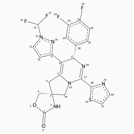 O=C1N[C@@]2(CO1)CC1=C(c3ccn(C(F)F)n3)[C@H](c3ccc(F)c(F)c3)N=C(c3nccs3)N1C2